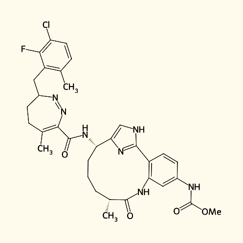 COC(=O)Nc1ccc2c(c1)NC(=O)[C@H](C)CCC[C@H](NC(=O)C1=C(C)CCC(Cc3c(C)ccc(Cl)c3F)N=N1)c1c[nH]c-2n1